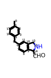 Cc1ccc(Cc2ccc3c(c2)CNC3C=O)cc1